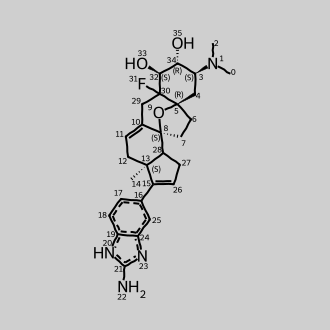 CN(C)[C@H]1C[C@@]23CC[C@@]4(O2)C(=CC[C@]2(C)C(c5ccc6[nH]c(N)nc6c5)=CCC24)CC3(F)[C@@H](O)[C@@H]1O